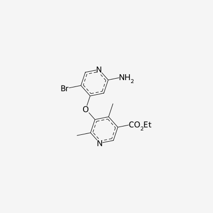 CCOC(=O)c1cnc(C)c(Oc2cc(N)ncc2Br)c1C